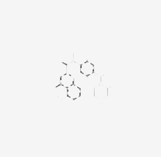 CN(C(=O)c1cc(=O)c2c(O)cccc2o1)c1ccc(CN2CCOCC2)cc1